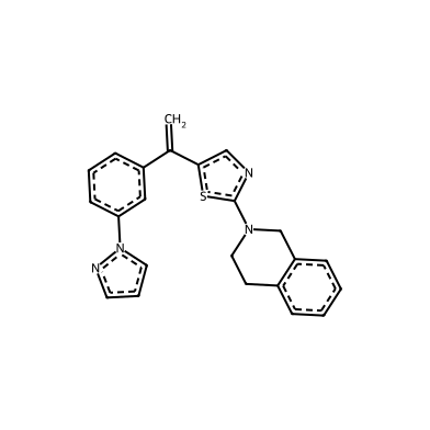 C=C(c1cccc(-n2cccn2)c1)c1cnc(N2CCc3ccccc3C2)s1